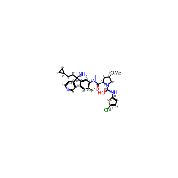 CO[C@@H]1C[C@H](C(=O)Nc2cc(C(N)(CCC3CC3)c3ccncc3)ccc2F)N(C(O)Nc2ccc(Cl)s2)C1